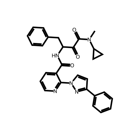 CN(C(=O)C(=O)C(Cc1ccccc1)NC(=O)c1cccnc1-n1ccc(-c2ccccc2)n1)C1CC1